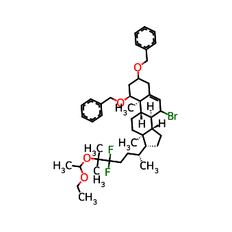 CCOC(C)OC(C)(C)C(F)(F)CC[C@@H](C)[C@H]1CC[C@H]2[C@@H]3C(Br)C=C4CC(OCc5ccccc5)C[C@H](OCc5ccccc5)[C@]4(C)[C@H]3CC[C@]12C